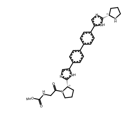 COC(=O)NCC(=O)N1CCC[C@H]1c1ncc(-c2ccc(-c3ccc(-c4cnc([C@@H]5CCCN5)[nH]4)cc3)cc2)[nH]1